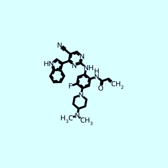 C=CC(=O)Nc1cc(N2CCC(N(C)C)CC2)c(F)cc1Nc1ncc(C#N)c(-c2c[nH]c3ccccc23)n1